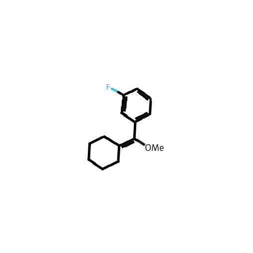 COC(=C1CCCCC1)c1cccc(F)c1